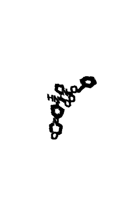 O=C(Nc1ccc(N2CCOCC2)cc1)[C@@H]1CCCN1C(=O)OCc1ccccc1